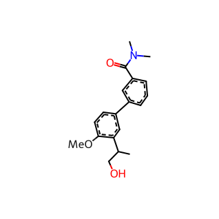 COc1ccc(-c2cccc(C(=O)N(C)C)c2)cc1C(C)CO